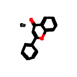 O=c1cc(-c2ccccc2)oc2ccccc12.[Cu]